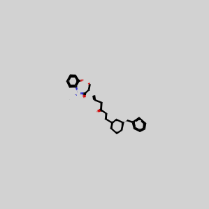 CN1C(=O)[C@@H](/C=C/CC(=O)CCC2CCC[C@H](Cc3ccccc3)C2)COc2ccccc21